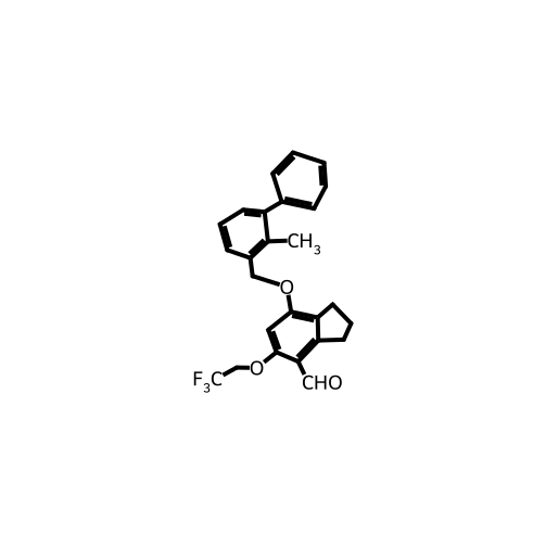 Cc1c(COc2cc(OCC(F)(F)F)c(C=O)c3c2CCC3)cccc1-c1ccccc1